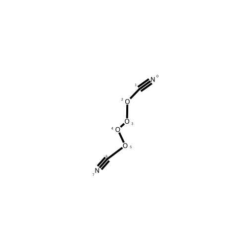 N#COOOOC#N